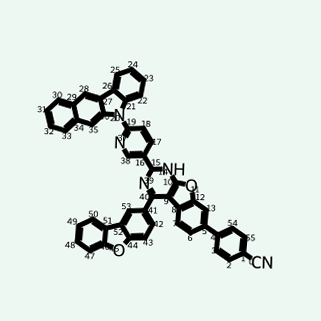 N#Cc1ccc(-c2ccc3c4c(oc3c2)NC(c2ccc(-n3c5ccccc5c5cc6ccccc6cc53)nc2)N=C4c2ccc3oc4ccccc4c3c2)cc1